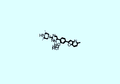 Cc1ccc2oc(-c3ccc(-c4cnc(N5C[C@@H](C)N[C@@H](C)C5)nn4)c(O)c3)cc2n1.Cl.Cl